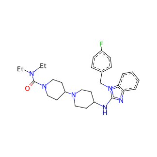 CCN(CC)C(=O)N1CCC(N2CCC(Nc3nc4ccccc4n3Cc3ccc(F)cc3)CC2)CC1